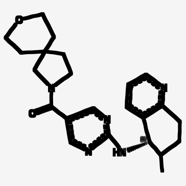 CC1CCc2ncccc2[C@H]1Nc1ncc(C(=O)N2CCC3(CCOCC3)C2)cn1